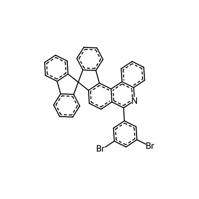 Brc1cc(Br)cc(-c2nc3ccccc3c3c4c(ccc23)C2(c3ccccc3-c3ccccc32)c2ccccc2-4)c1